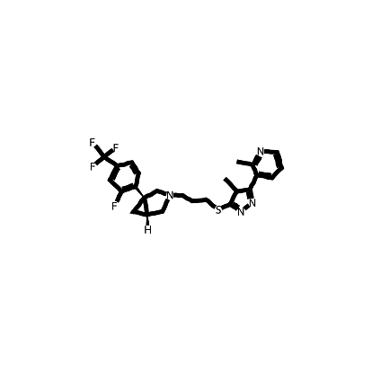 Cc1ncccc1C1=NN=C(SCCCN2C[C@@H]3C[C@]3(c3ccc(C(F)(F)F)cc3F)C2)C1C